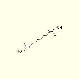 O=C(CO)OCCCCCCOC(=O)CO